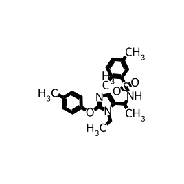 CCn1c(C(C)NS(=O)(=O)c2cc(C)ccc2C)cnc1Oc1ccc(C)cc1